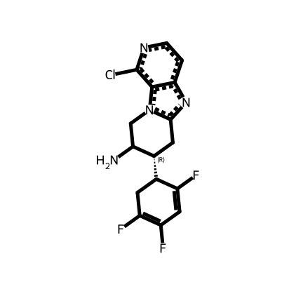 NC1Cn2c(nc3ccnc(Cl)c32)C[C@@H]1C1CC(F)=C(F)C=C1F